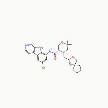 CC1(C)CN(CC2=NC3(CCCC3)CO2)[C@H](C(=O)Nc2cc(Cl)cc3c2[nH]c2cnccc23)CO1